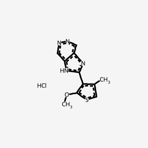 COc1scc(C)c1-c1nc2cnncc2[nH]1.Cl